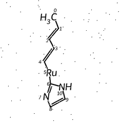 C/C=C/C=[CH]/[Ru][c]1ncc[nH]1